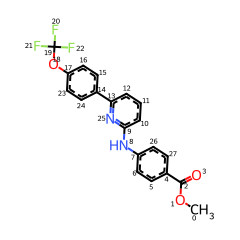 COC(=O)c1ccc(Nc2cccc(-c3ccc(OC(F)(F)F)cc3)n2)cc1